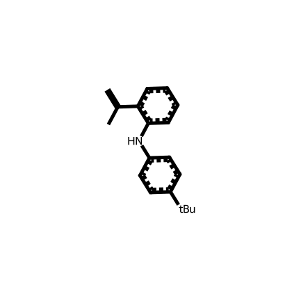 C=C(C)c1ccccc1Nc1ccc(C(C)(C)C)cc1